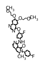 COCCOc1cc2ncnc(Oc3ccc(Nc4nccc5cc(C)n(-c6ccc(F)cc6)c(=O)c45)cc3F)c2cc1OCCOC